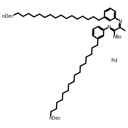 CCCCCCCCCCCCCCCCCCCCCCCCCCc1cccc(N=C(C)C(CCCC)=Nc2cccc(CCCCCCCCCCCCCCCCCCCCCCCCCC)c2)c1.[Pd]